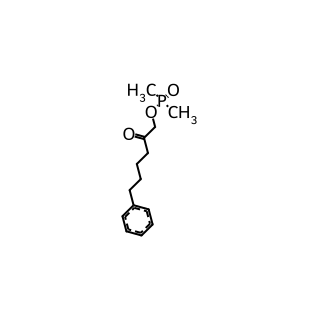 CP(C)(=O)OCC(=O)CCCCc1ccccc1